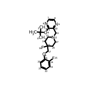 CC(C)(C)Oc1nccnc1CN1CCC(F)(COc2ccccc2F)CC1